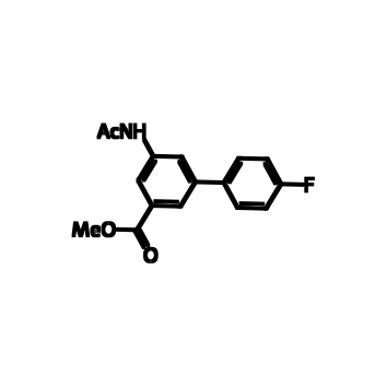 COC(=O)c1cc(NC(C)=O)cc(-c2ccc(F)cc2)c1